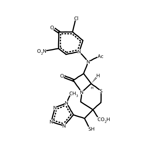 CC(=O)N(C1C(=O)N2CC(C(=O)O)(C(S)c3nnnn3C)CS[C@H]12)n1cc(Cl)c(=O)c([N+](=O)[O-])c1